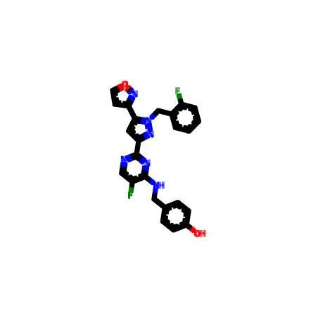 Oc1ccc(CNc2nc(-c3cc(-c4ccon4)n(Cc4ccccc4F)n3)ncc2F)cc1